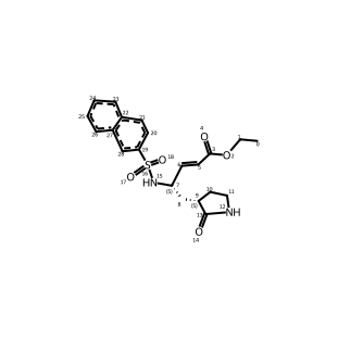 CCOC(=O)C=C[C@H](C[C@@H]1CCNC1=O)NS(=O)(=O)c1ccc2ccccc2c1